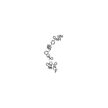 CNCCNC(=O)c1ccc(-c2cn(Cc3cccc4c3CN(C(=O)C[C@@H]3C[C@@H](C(=O)N5CC(C)(F)C[C@H]5C#N)NC3=O)C4)nn2)cc1